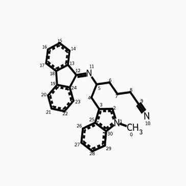 Cn1cc(CC(CCCC#N)N=C2c3ccccc3-c3ccccc32)c2ccccc21